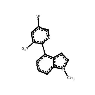 Cn1ccc2c(-c3ncc(Br)cc3[N+](=O)[O-])cccc21